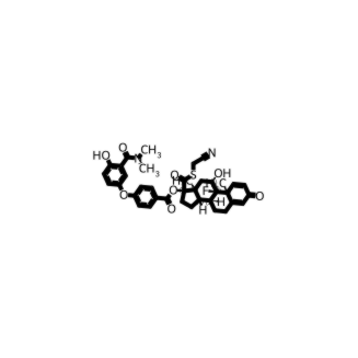 CN(C)C(=O)c1cc(Oc2ccc(C(=O)O[C@]3(C(=O)SCC#N)CC[C@H]4[C@@H]5CCC6=CC(=O)C=C[C@]6(C)[C@@]5(F)[C@@H](O)C[C@@]43C)cc2)ccc1O